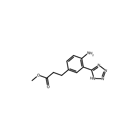 COC(=O)CCc1ccc(N)c(-c2nnn[nH]2)c1